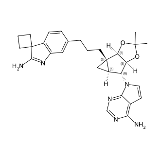 CC1(C)O[C@H]2[C@H](n3ccc4c(N)ncnc43)[C@H]3C[C@]3(CCCc3ccc4c(c3)N=C(N)C43CCC3)[C@H]2O1